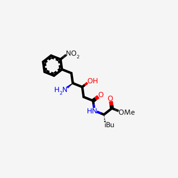 CCC(C)[C@H](NC(=O)CC(O)[C@@H](N)Cc1ccccc1[N+](=O)[O-])C(=O)OC